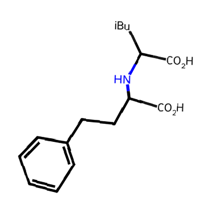 CCC(C)C(NC(CCc1ccccc1)C(=O)O)C(=O)O